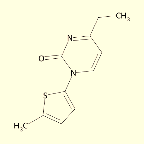 CCc1ccn(-c2ccc(C)s2)c(=O)n1